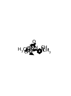 CN(C)c1cccc(-c2cc(N(C(=O)OC(C)(C)C)C3CC3)n3ncc(C=O)c3n2)c1